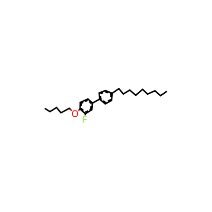 CCCCCCCCCc1ccc(-c2ccc(OCCCCC)c(F)c2)cc1